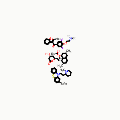 CCCCc1oc2ccccc2c1C(=O)c1cc(I)c(OCCN(CC)CC)c(I)c1.CC[C@H](C)C(=O)O[C@H]1C[C@@H](C)C=C2C=C[C@H](C)[C@H](CC[C@@H]3C[C@@H](O)CC(=O)O3)[C@H]21.CSc1ccc2c(c1)N(CCC1CCCCN1C)c1ccccc1S2